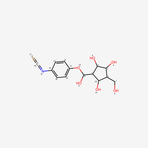 OCC1C(O)C(O)C(C(O)Oc2ccc(N=C=S)cc2)C1O